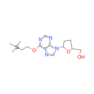 C[Si](C)(C)CCOc1ncnc2c1ncn2C1CCC(CO)O1